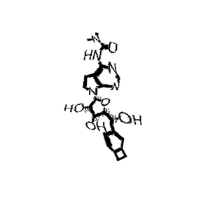 CN(C)C(=O)Nc1ncnc2c1ccn2[C@@H]1O[C@H]([C@H](O)c2ccc3c(c2)CC3)[C@@H](O)[C@H]1O